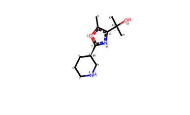 Cc1oc([C@@H]2CCCNC2)nc1C(C)(C)O